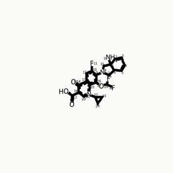 NC12C=CC=CC1CN(c1c(F)cc3c(=O)c(C(=O)O)cn(C4CC4)c3c1OC(F)F)C2